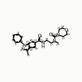 Cc1nn(-c2ccccc2)c2sc(C(=O)NCCN(C)C(=O)N3CCOCC3)cc12